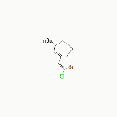 CCCCC1C=C(/C=C(/Cl)Br)CCCC1